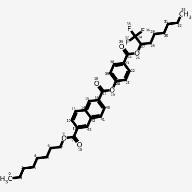 CCCCCCCCOC(=O)c1ccc2cc(C(=O)Oc3ccc(C(=O)OC(CCCCCC)C(F)(F)F)cc3)ccc2c1